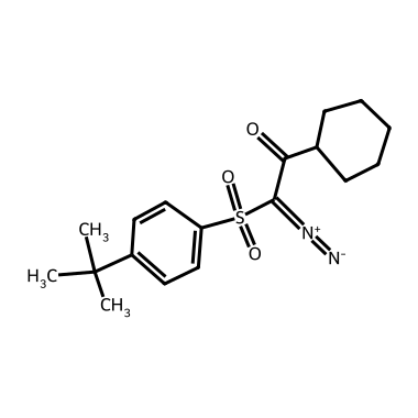 CC(C)(C)c1ccc(S(=O)(=O)C(=[N+]=[N-])C(=O)C2CCCCC2)cc1